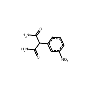 NC(=O)C(C(N)=O)c1cccc([N+](=O)[O-])c1